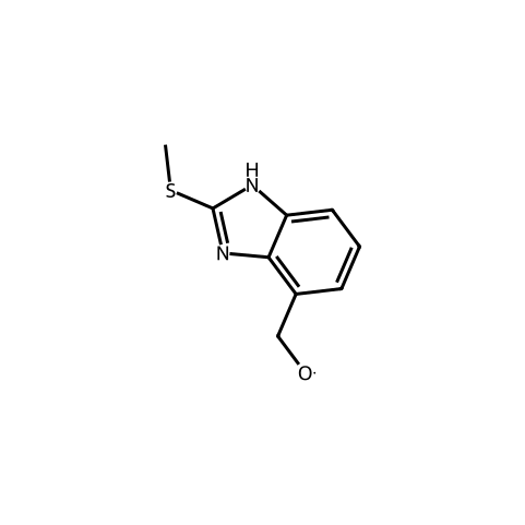 CSc1nc2c(C[O])cccc2[nH]1